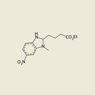 CCOC(=O)CCCC1Nc2ccc([N+](=O)[O-])cc2N1C